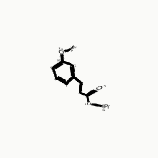 CC(C)OC(=O)/C=C/c1cccc(OC(C)(C)C)c1